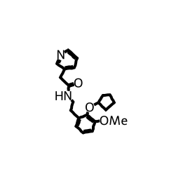 COc1cccc(CCNC(=O)Cc2cccnc2)c1OC1CCCC1